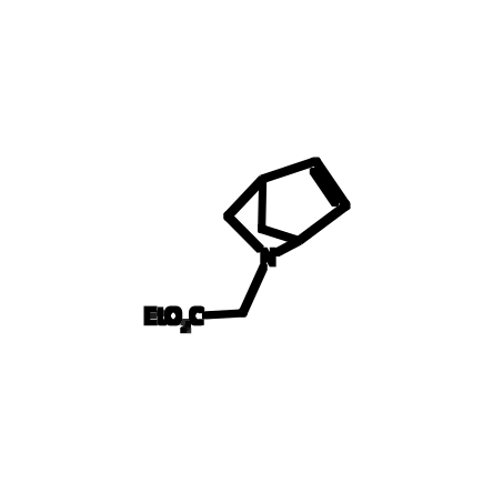 CCOC(=O)CN1CC2C=CC1C2